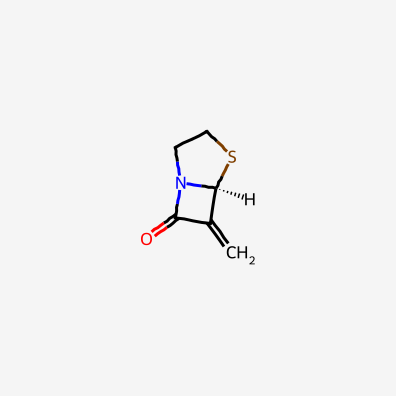 C=C1C(=O)N2CCS[C@@H]12